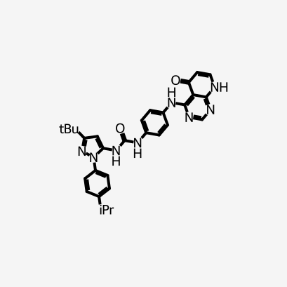 CC(C)c1ccc(-n2nc(C(C)(C)C)cc2NC(=O)Nc2ccc(Nc3ncnc4[nH]ccc(=O)c34)cc2)cc1